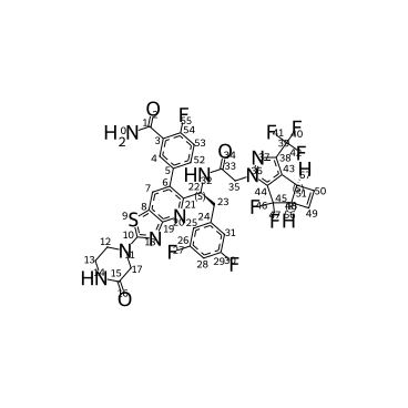 NC(=O)c1cc(-c2cc3sc(N4CCNC(=O)C4)nc3nc2[C@H](Cc2cc(F)cc(F)c2)NC(=O)Cn2nc(C(F)(F)F)c3c2C(F)(F)[C@@H]2C=C[C@H]32)ccc1F